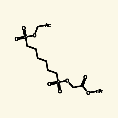 CCCOC(=O)COS(=O)(=O)CCCCCCS(=O)(=O)OCC(C)=O